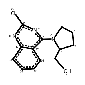 OCC1CCCN1c1nc(Cl)nc2ccccc12